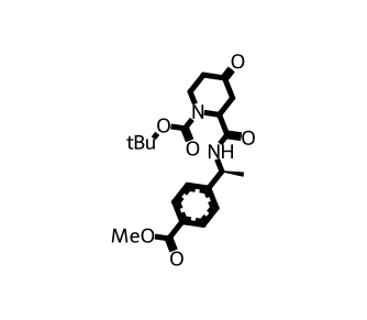 COC(=O)c1ccc([C@H](C)NC(=O)C2CC(=O)CCN2C(=O)OC(C)(C)C)cc1